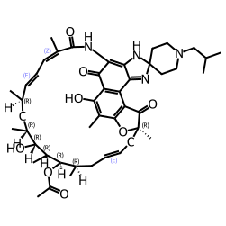 CC(=O)O[C@H]1[C@H](C)[C@H](O)[C@H](C)C[C@@H](C)/C=C/C=C(/C)C(=O)NC2=C3NC4(CCN(CC(C)C)CC4)N=C3c3c(c(O)c(C)c4c3C(=O)[C@@](C)(C/C=C/C[C@H]1C)O4)C2=O